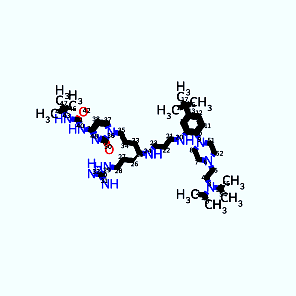 CC(C)N(CCN1CCN(c2ccc(C(C)(C)C)cc2NCCCN[C@@H](CCCNC(=N)N)CCCn2ccc(NC(=O)NC(C)(C)C)nc2=O)CC1)C(C)C